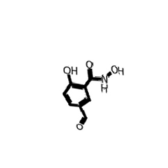 O=Cc1ccc(O)c(C(=O)NO)c1